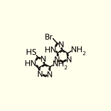 Nc1ncnc2[nH]c(Br)nc12.Nc1ncnc2[nH]c(S)nc12